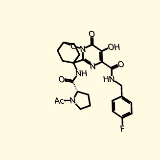 CC(=O)N1CCC[C@H]1C(=O)NC12CCC(CC1)Cn1c2nc(C(=O)NCc2ccc(F)cc2)c(O)c1=O